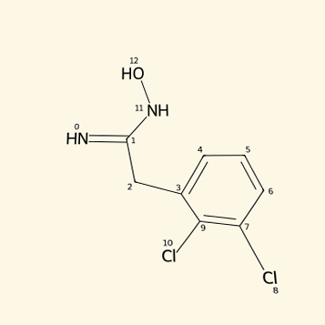 N=C(Cc1cccc(Cl)c1Cl)NO